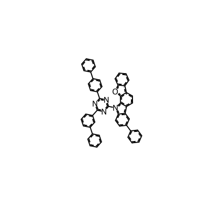 c1ccc(-c2ccc(-c3nc(-c4cccc(-c5ccccc5)c4)nc(-n4c5ccc(-c6ccccc6)cc5c5ccc6c7ccccc7oc6c54)n3)cc2)cc1